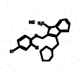 Cl.Cn1c(COc2ccc(Cl)cc2Cl)c(CN2CCCCC2)c2ccccc21